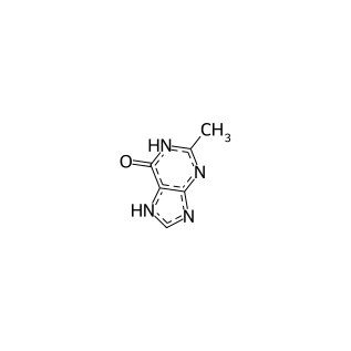 Cc1nc2nc[nH]c2c(=O)[nH]1